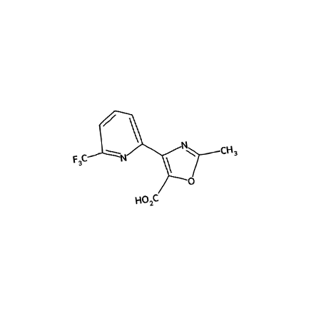 Cc1nc(-c2cccc(C(F)(F)F)n2)c(C(=O)O)o1